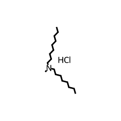 CCCCCCCCCN(C)CCCCCCCC.Cl